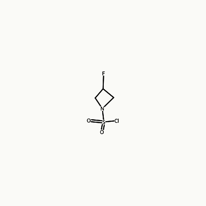 O=S(=O)(Cl)N1CC(F)C1